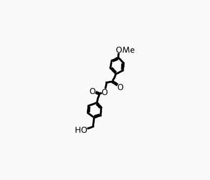 COc1ccc(C(=O)COC(=O)c2ccc(CO)cc2)cc1